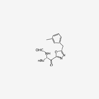 CCCCC(NC=O)C(=O)c1nnc(Cc2cccc(C)c2)o1